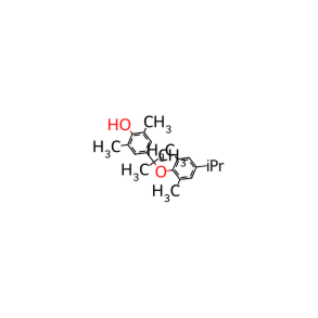 Cc1cc(C(C)(C)Oc2c(C)cc(C(C)C)cc2C)cc(C)c1O